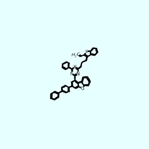 C=Cc1sc2ccccc2c1CCCc1nc(-c2ccccc2)nc(-c2cc(-c3ccc(-c4ccccc4)cc3)cc3oc4ccccc4c23)n1